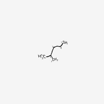 CC(C)CCS